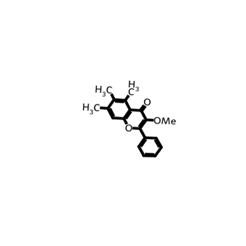 COc1c(-c2ccccc2)oc2cc(C)c(C)c(C)c2c1=O